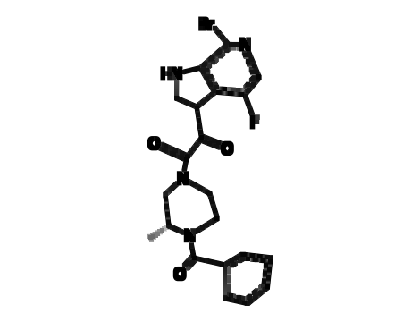 C[C@@H]1CN(C(=O)C(=O)C2CNc3c(Br)ncc(F)c32)CCN1C(=O)c1ccccc1